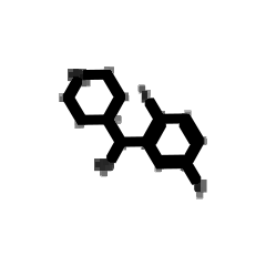 OC(c1cc(Cl)ccc1F)C1CCNCC1